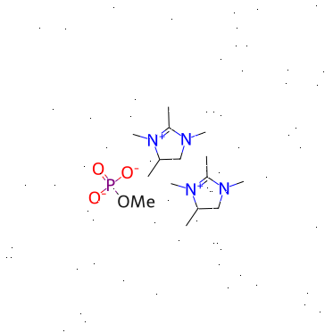 CC1=[N+](C)C(C)CN1C.CC1=[N+](C)C(C)CN1C.COP(=O)([O-])[O-]